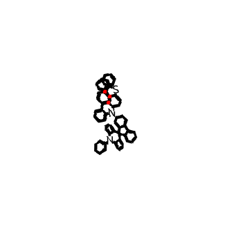 c1ccc(-c2ccc(-c3ccccc3N(c3ccc4c(c3)C3(c5ccccc5-4)c4ccccc4N(c4ccccc4)c4ccccc43)c3ccc4sc5ccccc5c4c3)cc2)cc1